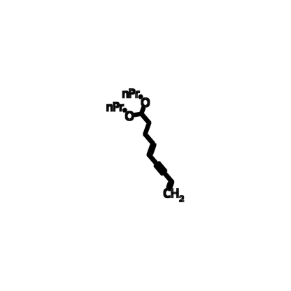 C=CC#C/C=C/CCC(OCCC)OCCC